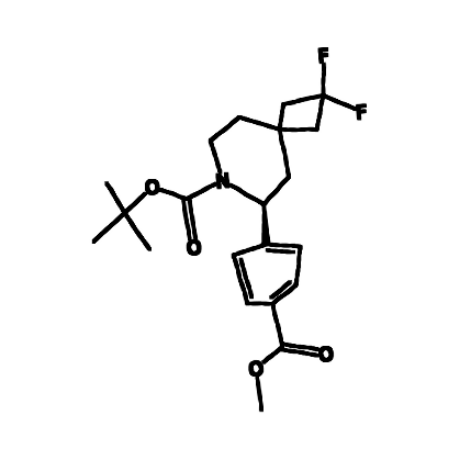 COC(=O)c1ccc([C@@H]2CC3(CCN2C(=O)OC(C)(C)C)CC(F)(F)C3)cc1